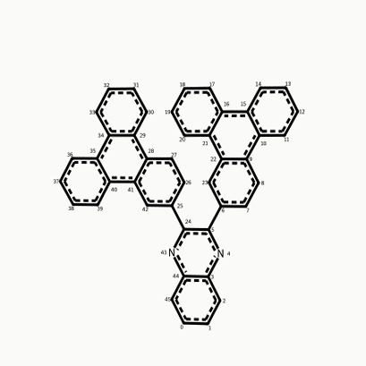 c1ccc2nc(-c3ccc4c5ccccc5c5ccccc5c4c3)c(-c3ccc4c5ccccc5c5ccccc5c4c3)nc2c1